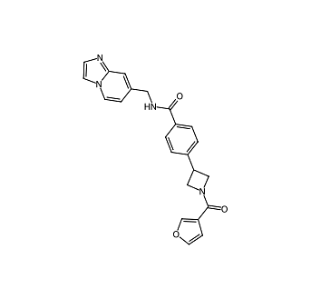 O=C(NCc1ccn2ccnc2c1)c1ccc(C2CN(C(=O)c3ccoc3)C2)cc1